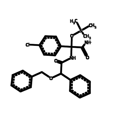 C[Si](C)(C)OC(NC(=O)C(OCc1ccccc1)c1ccccc1)(C([NH])=O)c1ccc(Cl)cc1